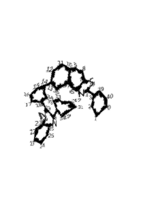 c1ccc(-c2nc3c(ccc4ccc(-c5cccc(-c6nc7ccccc7nc6-c6ccccc6)c5)cc43)s2)cc1